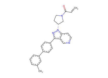 C=CC(=O)N1CC[C@@H](n2nc(-c3ccc(-c4cccc(C)c4)cc3)c3cnccc32)C1